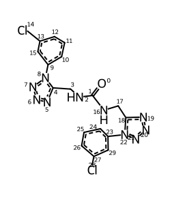 O=C(NCc1nnnn1-c1cccc(Cl)c1)NCc1nnnn1-c1cccc(Cl)c1